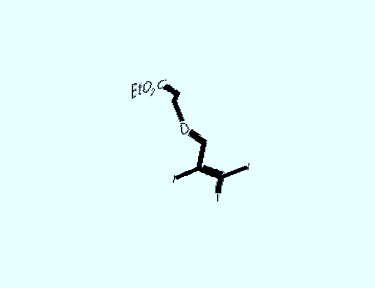 CCOC(=O)COCC(I)=C(I)I